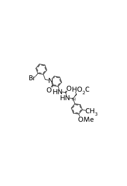 COc1ccc([C@H](CC(=O)O)NC(=O)Nc2cccn(Cc3ccccc3Br)c2=O)cc1C